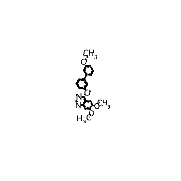 CCOc1cccc(-c2cccc(Oc3ncnc4cc(OC)c(OC)cc34)c2)c1